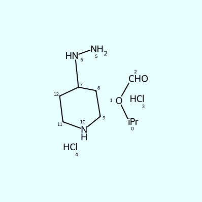 CC(C)OC=O.Cl.Cl.NNC1CCNCC1